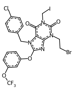 O=c1c2c(nc(Oc3cccc(OC(F)(F)F)c3)n2Cc2ccc(Cl)cc2)n(CCBr)c(=O)n1CI